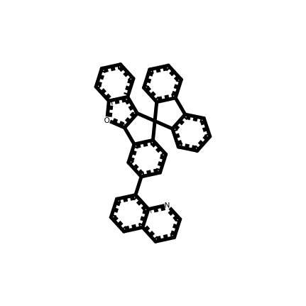 c1ccc2c(c1)-c1ccccc1C21c2ccc(-c3cccc4cccnc34)cc2-c2oc3ccccc3c21